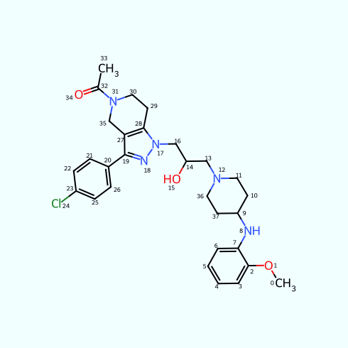 COc1ccccc1NC1CCN(CC(O)Cn2nc(-c3ccc(Cl)cc3)c3c2CCN(C(C)=O)C3)CC1